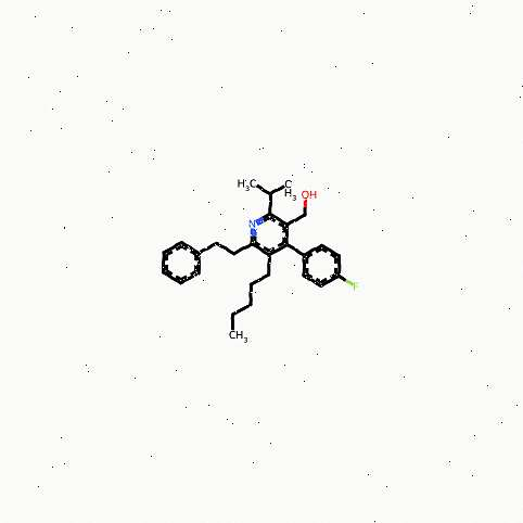 CCCCCc1c(CCc2ccccc2)nc(C(C)C)c(CO)c1-c1ccc(F)cc1